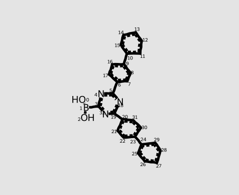 OB(O)c1nc(-c2ccc(-c3ccccc3)cc2)nc(-c2ccc(-c3ccccc3)cc2)n1